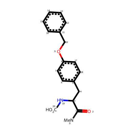 CNC(=O)C(Cc1ccc(OCc2ccccc2)cc1)NC(=O)O